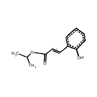 CC(C)OC(=O)/C=C/c1ccccc1O